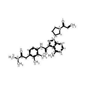 C=CC(=O)N1CC[C@@H](n2nc(C(=O)Nc3ccc(CC(=O)N(C)C)c(C)c3C)c3c(N)ncnc32)C1